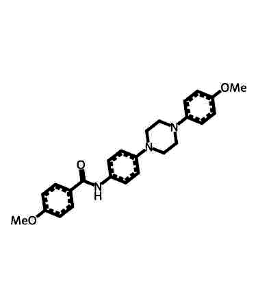 COc1ccc(C(=O)Nc2ccc(N3CCN(c4ccc(OC)cc4)CC3)cc2)cc1